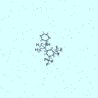 CC(C)(Bc1ccccc1)c1cc(C(F)(F)F)cc(C(F)(F)F)c1